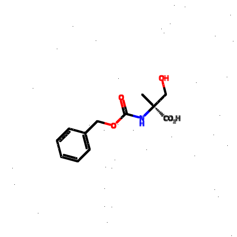 C[C@@](CO)(NC(=O)OCc1ccccc1)C(=O)O